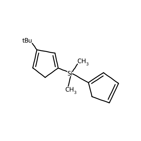 CC(C)(C)C1=CCC([Si](C)(C)C2=CC=CC2)=C1